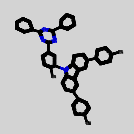 N#Cc1ccc(-c2ccc3c(c2)c2cc(-c4ccc(C#N)cc4)ccc2n3-c2cc(-c3nc(-c4ccccc4)nc(-c4ccccc4)n3)ccc2C#N)cc1